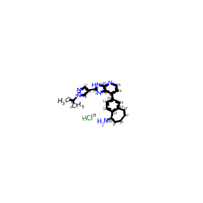 CC(C)n1cc(-c2nc3c(-c4ccc5c(c4)CCCCC5N)ccnc3[nH]2)cn1.Cl